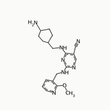 COc1ncccc1CNc1ncc(C#N)c(NCC2CCC(N)CC2)n1